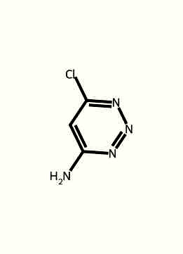 Nc1cc(Cl)nnn1